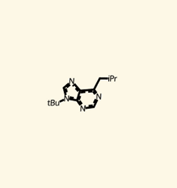 CC(C)Cc1ncnc2c1ncn2C(C)(C)C